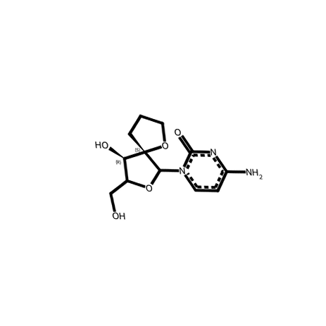 Nc1ccn(C2OC(CO)[C@@H](O)[C@@]23CCCO3)c(=O)n1